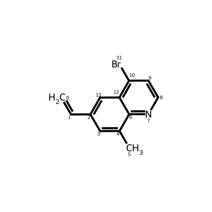 C=Cc1cc(C)c2nccc(Br)c2c1